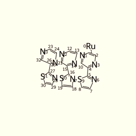 [Ru].c1cnc(-c2nccs2)cn1.c1cnc(-c2nccs2)cn1.c1cnc(-c2nccs2)cn1